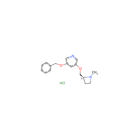 CN1CC[C@H]1COc1cncc(OCc2ccccc2)c1.Cl